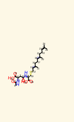 CC(=O)NC(CC(=O)N[C@@H](CSC/C=C(\C)CC/C=C(\C)CCC=C(C)C)C(=O)O)C(=O)O